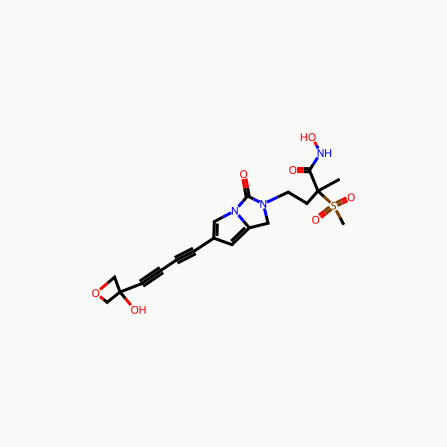 CC(CCN1Cc2cc(C#CC#CC3(O)COC3)cn2C1=O)(C(=O)NO)S(C)(=O)=O